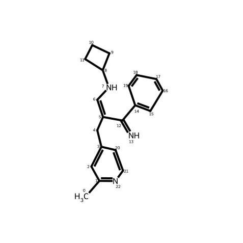 Cc1cc(C/C(=C/NC2CCC2)C(=N)c2ccccc2)ccn1